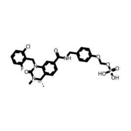 C[C@H]1c2ccc(C(=O)NCc3ccc(OCOP(=O)(O)O)cc3)cc2N(Cc2c(F)cccc2Cl)C(=O)N1C